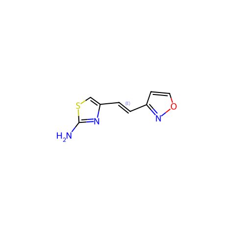 Nc1nc(/C=C/c2ccon2)cs1